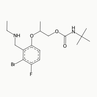 CCNCc1c(OC(C)COC(=O)NC(C)(C)C)ccc(F)c1Br